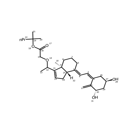 C=C1/C(=C\C=C2/CCC[C@]3(C)C(C(C)OCC(=O)OC(C)(C)CCC)=CC[C@@H]23)C[C@@H](O)C[C@@H]1O